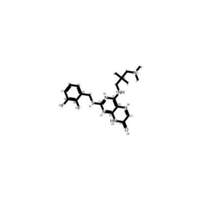 CN(C)CC(C)(C)CNc1nc(SCc2cccc(F)c2F)nc2[nH]c(=O)cnc12